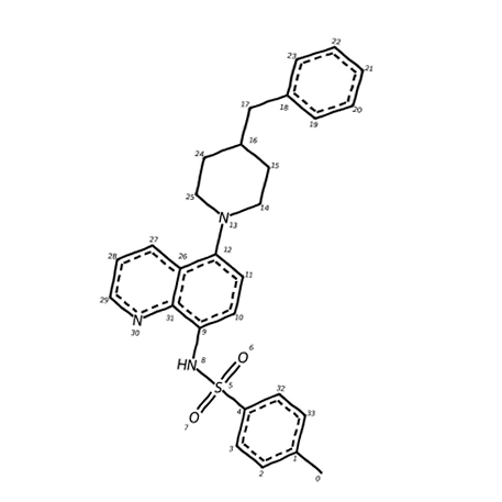 Cc1ccc(S(=O)(=O)Nc2ccc(N3CCC(Cc4ccccc4)CC3)c3cccnc23)cc1